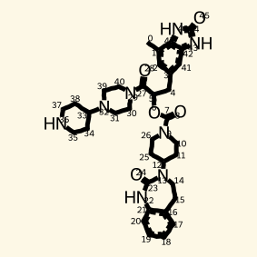 Cc1cc(CC(OC(=O)N2CCC(N3CCc4ccccc4NC3=O)CC2)C(=O)N2CCN(C3CCNCC3)CC2)cc2[nH]c(=O)[nH]c12